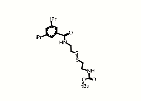 CC(C)c1cc(C(=O)NCCSSCCNC(=O)OC(C)(C)C)cc(C(C)C)c1